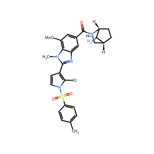 CCc1c(-c2nc3cc(C(=O)N4C[C@H]5CC[C@@H]4[C@@H]5N)cc(OC)c3n2C)ccn1S(=O)(=O)c1ccc(C)cc1